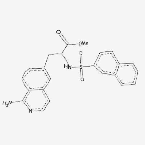 COC(=O)C(Cc1ccc2c(N)nccc2c1)NS(=O)(=O)c1ccc2ccccc2c1